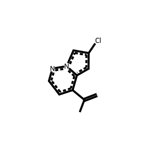 C=C(C)c1ccnn2cc(Cl)cc12